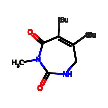 CN1C(=O)NCC(C(C)(C)C)=C(C(C)(C)C)C1=O